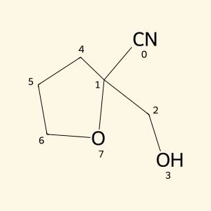 N#CC1(CO)CCCO1